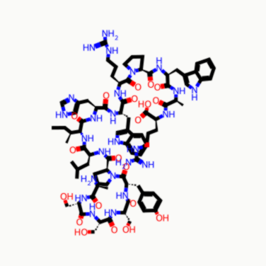 CC[C@H](C)[C@H](NC(=O)[C@H](CC(C)C)NC(=O)[C@@H]1CCCN1C(=O)[C@H](Cc1ccc(O)cc1)NC(=O)[C@H](CO)NC(=O)[C@H](CO)NC(=O)[C@H](CO)NC(=O)[C@H](C)N)C(=O)N[C@@H](Cc1c[nH]cn1)C(=O)N[C@@H](Cc1c[nH]c2ccccc12)C(=O)N[C@@H](CCCNC(=N)N)C(=O)N1CCC[C@H]1C(=O)N[C@@H](Cc1c[nH]c2ccccc12)C(=O)N[C@@H](C)C(=O)N[C@@H](CCCNC(=N)N)C(=O)O